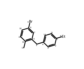 CCc1ccc(Cc2cc(Br)ccc2C)cc1